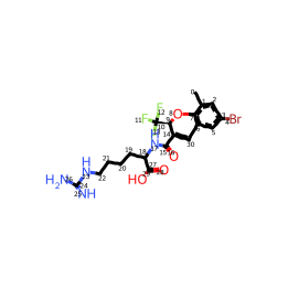 Cc1cc(Br)cc2c1O[C@H](C(F)(F)F)C(C(=O)NC(CCCCNC(=N)N)C(=O)O)=C2